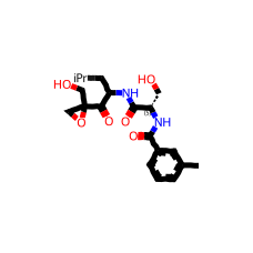 Cc1cccc(C(=O)N[C@@H](CO)C(=O)NC(CC(C)C)C(=O)C2(CO)CO2)c1